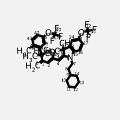 C=C(/C=C(/C=C1/N(CCC2CCCCC2)c2ccc(OC(F)(F)F)cc2C1(C)C)OC)C(C)(C)c1cc(OC(F)(F)F)ccc1C